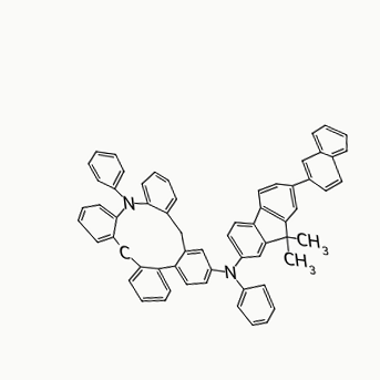 CC1(C)c2cc(-c3ccc4ccccc4c3)ccc2-c2ccc(N(c3ccccc3)c3ccc4c(c3)Cc3ccccc3N(c3ccccc3)c3ccccc3Cc3ccccc3-4)cc21